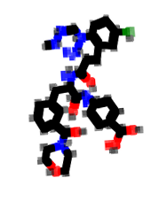 C=N/N=C\N(N)c1ccc(Cl)cc1/C=C/C(=O)NC(Cc1cccc(C(=O)N2CCOCC2)c1)C(=O)Nc1ccc(C(=O)O)cc1